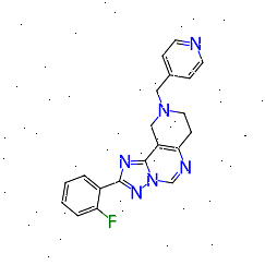 Fc1ccccc1-c1nc2c3c(ncn2n1)CCN(Cc1ccncc1)C3